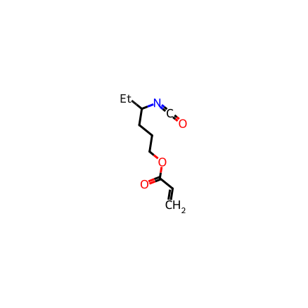 C=CC(=O)OCCCC(CC)N=C=O